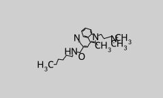 CCCCCCNC(=O)C(C#N)=Cc1c(C)n(CCCN(C)C)c2ccccc12